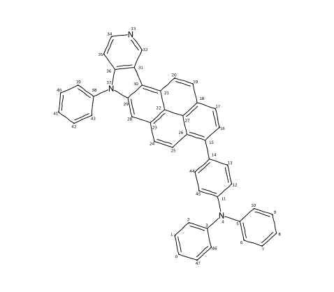 c1ccc(N(c2ccccc2)c2ccc(-c3ccc4ccc5c6c(ccc3c46)cc3c5c4cnccc4n3-c3ccccc3)cc2)cc1